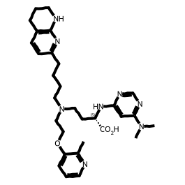 Cc1ncccc1OCCN(CCCCc1ccc2c(n1)NCCC2)CC[C@H](Nc1cc(N(C)C)ncn1)C(=O)O